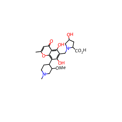 COC1CN(C)CCC1c1c(O)c(CN2CC(O)CC2C(=O)O)c(O)c2c(=O)cc(C)oc12